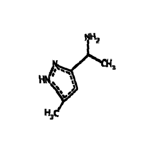 Cc1cc(C(C)N)n[nH]1